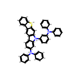 c1ccc(N(c2ccccc2)c2cccc(-n3c4cc(N(c5ccccc5)c5ccccc5)ccc4c4cc5c(cc43)sc3ccccc35)c2)cc1